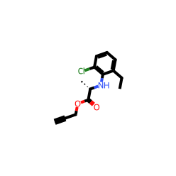 C#CCOC(=O)[C@H](C)Nc1c(Cl)cccc1CC